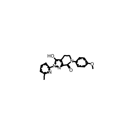 COc1ccc(N2CCc3c(nn(-c4cccc(C)n4)c3O)C2=O)cc1